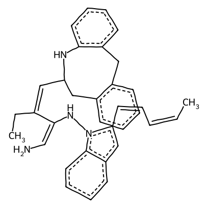 C/C=C\C=C/c1cc2ccccc2n1NC(=C/N)/C(=C\C1Cc2ccccc2Cc2ccccc2N1)CC